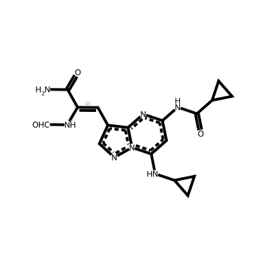 NC(=O)/C(=C/c1cnn2c(NC3CC3)cc(NC(=O)C3CC3)nc12)NC=O